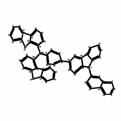 c1ccc2cc(-n3c4ccccc4c4cc(-c5ccc(N(c6cccc7c6oc6ccccc67)c6cccc7oc8ccccc8c67)cc5)ccc43)ccc2c1